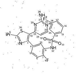 CC(C)c1nc(-c2ccc(F)c(NS(=O)(=O)c3cccc(F)c3)c2)c(-c2ccnc(N)n2)s1